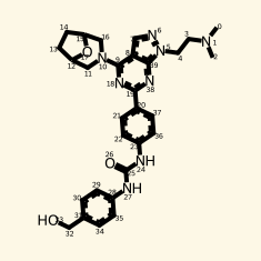 CN(C)CCn1ncc2c(N3CC4CCC(C3)O4)nc(-c3ccc(NC(=O)Nc4ccc(CO)cc4)cc3)nc21